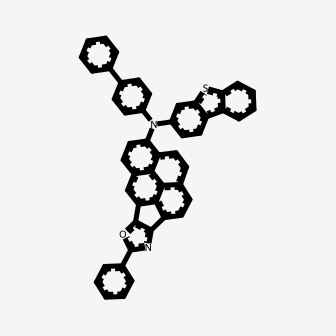 c1ccc(-c2ccc(N(c3ccc4c(c3)sc3ccccc34)c3ccc4cc5c6c(ccc7ccc3c4c76)-c3nc(-c4ccccc4)oc3-5)cc2)cc1